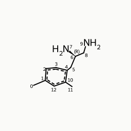 Cc1ccc(C[C@@H](N)CN)c(C)c1